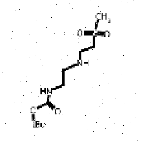 CC(C)(C)OC(=O)NCCNCCS(C)(=O)=O